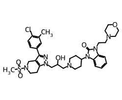 Cc1cc(-c2nn(CC(O)CN3CCC(n4c(=O)n(CCN5CCOCC5)c5ccccc54)CC3)c3c2CN(S(C)(=O)=O)CC3)ccc1Cl